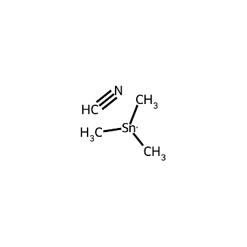 C#N.[CH3][Sn]([CH3])[CH3]